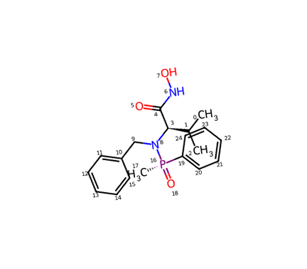 CC(C)[C@H](C(=O)NO)N(Cc1ccccc1)[P@](C)(=O)c1ccccc1